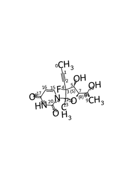 CC#CC1(F)[C@@H](O)[C@@H]([C@H](C)O)OC1(C)n1ccc(=O)[nH]c1=O